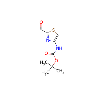 CC(C)(C)OC(=O)Nc1csc(C=O)n1